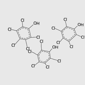 Oc1c(Cl)c(Cl)c(Cl)c(Cl)c1Cl.Oc1c(Cl)c(Cl)c(Cl)c(Cl)c1Cl.Oc1c(Cl)c(Cl)c(Cl)c(Cl)c1Cl